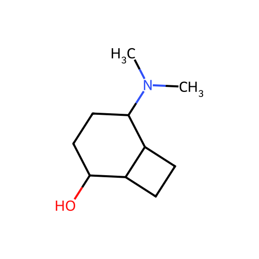 CN(C)C1CCC(O)C2CCC21